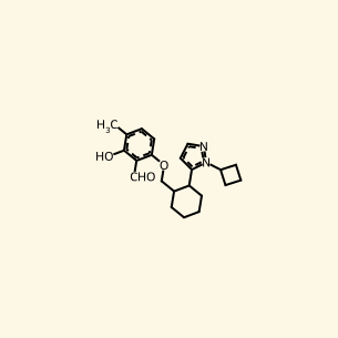 Cc1ccc(OCC2CCCCC2c2ccnn2C2CCC2)c(C=O)c1O